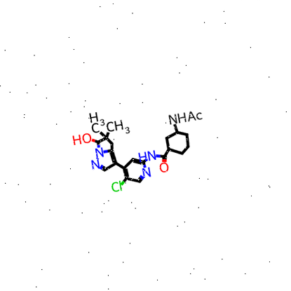 CC(=O)NC1CCCC(C(=O)Nc2cc(-c3cnn4c3CC(C)(C)C4O)c(Cl)cn2)C1